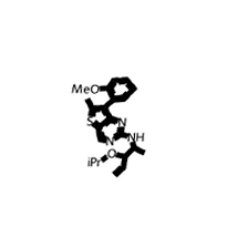 C=CC(OC(C)C)C(C)Nc1ncc2sc(C)c(-c3ccccc3OC)c2n1